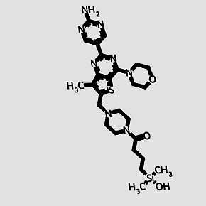 Cc1c(CN2CCN(C(=O)CCC[Si](C)(C)O)CC2)sc2c(N3CCOCC3)nc(-c3cnc(N)nc3)nc12